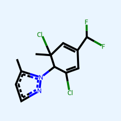 Cc1ccnn1C1C(Cl)=CC(C(F)F)=CC1(C)Cl